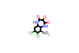 O=c1[nH]c2cc(Cl)c(Cl)c([N+](=O)[O-])c2[nH]c(=O)c1=O